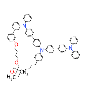 CCCCCCCCc1ccc(N(c2ccc(-c3ccc(N(c4ccccc4)c4ccccc4)cc3)cc2)c2ccc(-c3ccc(N(c4ccccc4)c4cccc(-c5cccc(OCCCCOCC6(C)COC6)c5)c4)cc3)cc2)cc1